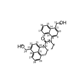 CCN(C(=O)N(CC)c1ccc(CO)c2ccccc12)c1ccc(CO)c2ccccc12